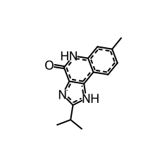 Cc1ccc2c(c1)[nH]c(=O)c1nc(C(C)C)[nH]c12